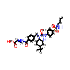 CCCCNS(=O)(=O)c1ccc(NC(=O)N(Cc2ccc(C(=O)NCCC(=O)O)cc2)[C@H]2CC[C@H](C(C)(C)C)CC2)cc1